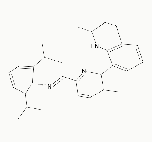 CC1CCc2cccc(C3N=C(/C=N/[C@H]4C(C(C)C)=CC=CC4C(C)C)C=CC3C)c2N1